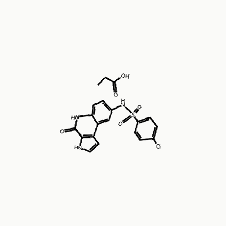 CCC(=O)O.O=c1[nH]c2ccc(NS(=O)(=O)c3ccc(Cl)cc3)cc2c2cc[nH]c12